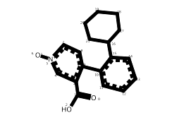 O=C(O)c1c[n+]([O-])ccc1-c1ccccc1C1CCCCC1